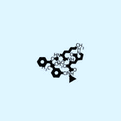 CCCCCC(NC(=O)OC(c1ccccc1)C(C)(C)c1cccc(Cl)c1)C(=O)NC(CC1CCNC1=O)C(=O)C(=O)NC1CC1